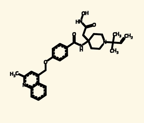 C=CC(C)(C)N1CCC(CC(=O)NO)(NC(=O)c2ccc(OCc3cc(C)nc4ccccc34)cc2)CC1